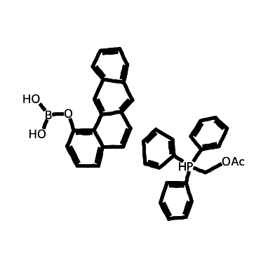 CC(=O)OC[PH](c1ccccc1)(c1ccccc1)c1ccccc1.OB(O)Oc1cccc2ccc3cc4ccccc4cc3c12